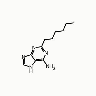 CCCCCCc1nc(N)c2[nH]cnc2n1